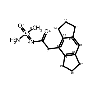 CS(N)(=O)=NC(=O)Cc1c2c(cc3c1CCC3)CCC2